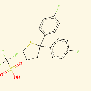 Fc1ccc(C2(c3ccc(F)cc3)CCCS2)cc1.O=S(=O)(O)C(F)(F)F